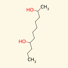 CCCC(O)CCCCCC(C)O